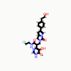 O=C(NCCF)C(CN1Cc2cc(-c3ccc(CCO)cc3)cn2C1=O)c1nc[nH]c(=O)c1O